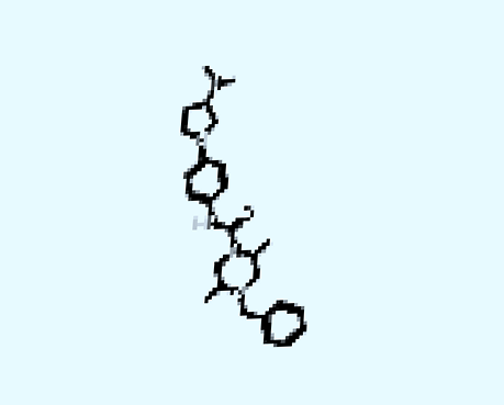 CC1CN(C(=O)Nc2ccc(N3CCC(N(C)C)C3)cc2)C(C)CN1Cc1ccccc1